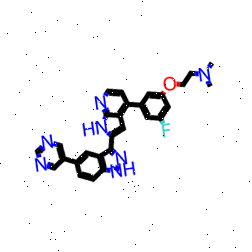 CN(C)CCOc1cc(F)cc(-c2ccnc3[nH]c(-c4n[nH]c5ccc(-c6cncnc6)cc45)cc23)c1